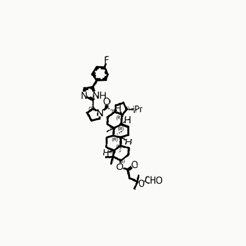 CC(C)[C@@H]1CC[C@]2(C(=O)N3CCC[C@H]3c3ncc(-c4ccc(F)cc4)[nH]3)CC[C@]3(C)[C@H](CC[C@@H]4[C@@]5(C)CC[C@H](OC(=O)CC(C)(C)OC=O)C(C)(C)[C@@H]5CC[C@]43C)[C@@H]12